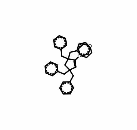 C1=C(N2CCOCC2)C(Cc2ccccc2)(Cc2ccccc2)CC1(Cc1ccccc1)Cc1ccccc1